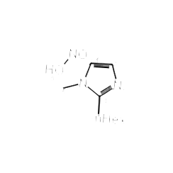 CCCCCCc1nccn1C.O=[N+]([O-])O